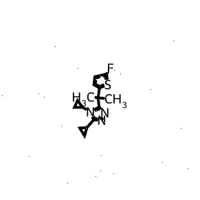 CC(C)(c1ccc(F)s1)c1nnc(C2CC2)n1C1CC1